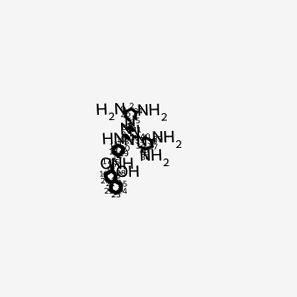 N[C@@H]1C[C@H](N)CN(c2nc(Nc3ccc(NC(=O)c4ccc5ccccc5c4O)cc3)nc(N3C[C@H](N)C[C@H](N)C3)n2)C1